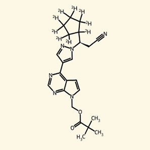 [2H]C1([2H])C([2H])([2H])C([2H])([2H])C([2H])([C@@H](CC#N)n2cc(-c3ncnc4c3ccn4COC(=O)C(C)(C)C)cn2)C1([2H])[2H]